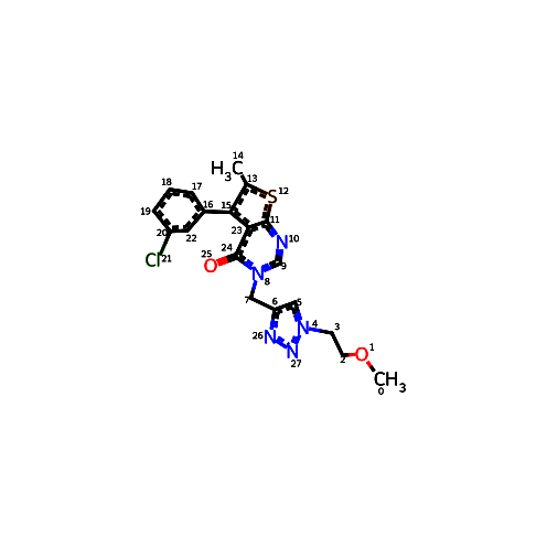 COCCn1cc(Cn2cnc3sc(C)c(-c4cccc(Cl)c4)c3c2=O)nn1